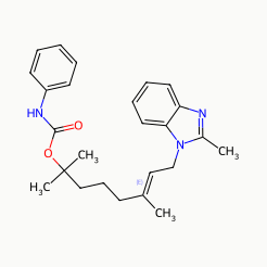 C/C(=C\Cn1c(C)nc2ccccc21)CCCC(C)(C)OC(=O)Nc1ccccc1